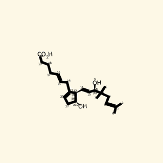 CC(C)=CCC(C)(C)[C@H](O)C=C[C@@H]1C(CC=CCCCC(=O)O)=CC[C@H]1O